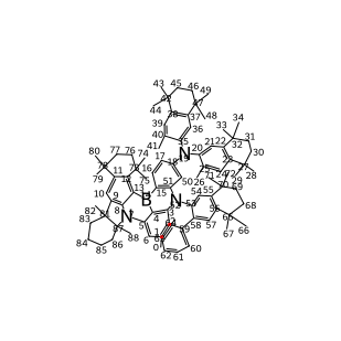 Cc1cc2c3c(c1)N1c4c(cc5c(c4B3c3ccc(N(c4cc6c(cc4C)C(C)(C)CCC6(C)C)c4cc6c(cc4C)C(C)(C)CCC6(C)C)cc3N2c2cc3c(cc2-c2ccccc2)C(C)(C)CCC3(C)C)C(C)(C)CCC5(C)C)C2(C)CCCCC12C